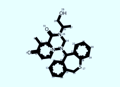 Cc1c2n(ccc1=O)N(C1c3ccccc3CSc3ccccc31)CN(C(C)CO)C2=O